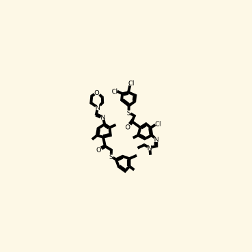 CCN(C)/C=N\c1cc(C)c(C(=O)CSc2ccc(Cl)c(Cl)c2)cc1Cl.Cc1ccc(SCC(=O)c2cc(C)c(/N=C/N3CCOCC3)cc2C)cc1C